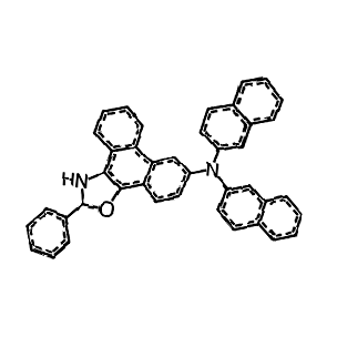 c1ccc(C2Nc3c(c4ccc(N(c5ccc6ccccc6c5)c5ccc6ccccc6c5)cc4c4ccccc34)O2)cc1